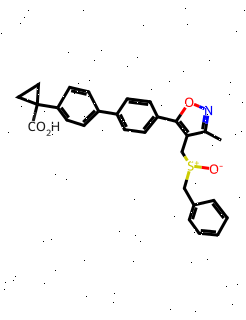 Cc1noc(-c2ccc(-c3ccc(C4(C(=O)O)CC4)cc3)cc2)c1C[S+]([O-])Cc1ccccc1